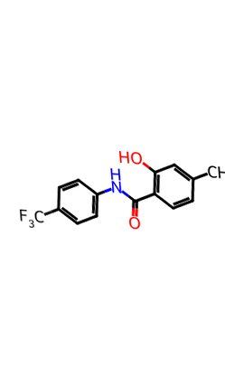 Cc1ccc(C(=O)Nc2ccc(C(F)(F)F)cc2)c(O)c1